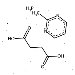 Cc1ncccn1.O=C(O)CCC(=O)O.P